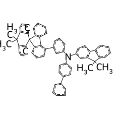 CC1(C)c2ccccc2-c2ccc(N(c3ccc(-c4ccccc4)cc3)c3cccc(-c4cccc5c4-c4ccccc4C54c5ccccc5C(C)(C)c5ccccc54)c3)cc21